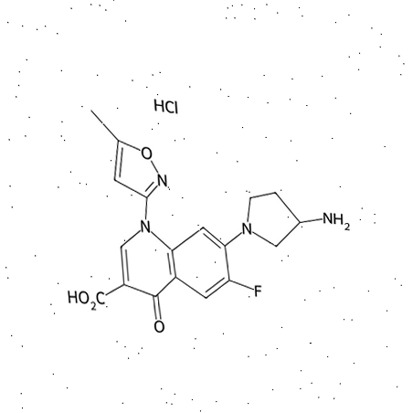 Cc1cc(-n2cc(C(=O)O)c(=O)c3cc(F)c(N4CCC(N)C4)cc32)no1.Cl